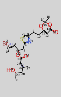 C/C(Br)=C\C(Cc1nc(CCC2=CC(=O)OC(C)(C)O2)cs1)OC(=O)/C=C(\C)CC(C)O